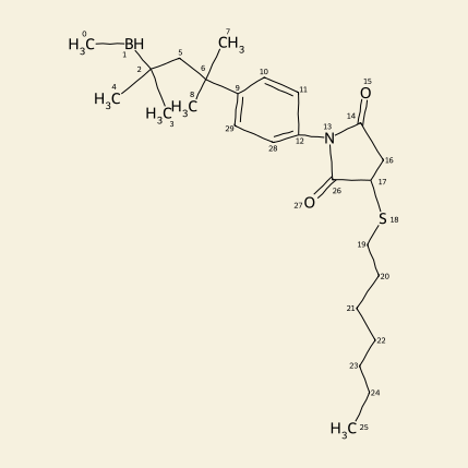 CBC(C)(C)CC(C)(C)c1ccc(N2C(=O)CC(SCCCCCCC)C2=O)cc1